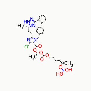 CCCCc1nc(Cl)c(C(=O)OC(C)OC(=O)OCCCC[C@H](C)ON(O)O)n1Cc1ccc(-c2ccccc2-c2nn[nH]n2)cc1